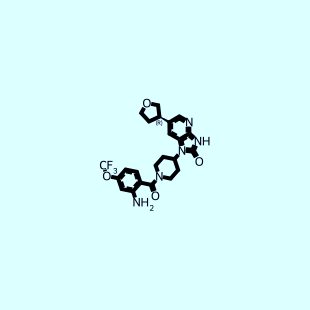 Nc1cc(OC(F)(F)F)ccc1C(=O)N1CCC(n2c(=O)[nH]c3ncc([C@H]4CCOC4)cc32)CC1